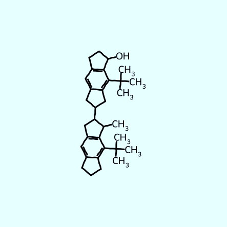 CC1c2c(cc3c(c2C(C)(C)C)CCC3)CC1C1Cc2cc3c(c(C(C)(C)C)c2C1)C(O)CC3